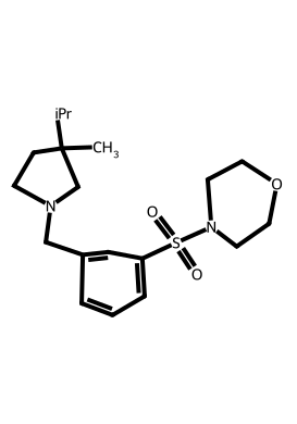 CC(C)C1(C)CCN(Cc2cccc(S(=O)(=O)N3CCOCC3)c2)C1